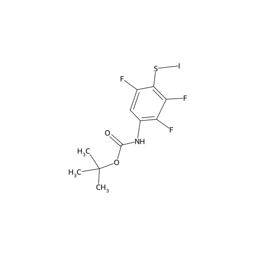 CC(C)(C)OC(=O)Nc1cc(F)c(SI)c(F)c1F